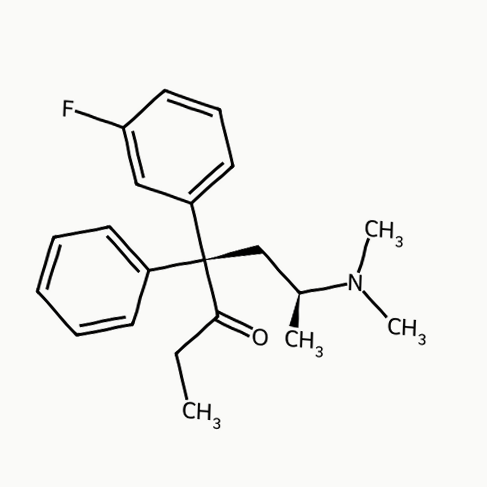 CCC(=O)[C@](C[C@H](C)N(C)C)(c1ccccc1)c1cccc(F)c1